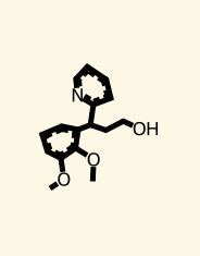 COc1cccc(C(CCO)c2ccccn2)c1OC